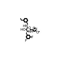 CCc1cccc(CNC[C@@H](O)[C@H](Cc2cc(F)cc(F)c2)NC(=O)c2cc(OC)no2)c1